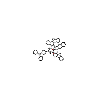 c1ccc(-n2c3ccccc3c3cc(-c4nc(-c5ccc6c(c5)oc5ccccc56)nc(-c5c(-n6c7ccccc7c7cc8ccccc8cc76)c6c7ccccc7oc6c6ccccc56)n4)ccc32)cc1